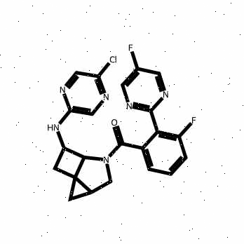 O=C(c1cccc(F)c1-c1ncc(F)cn1)N1CC2CC23CC(Nc2cnc(Cl)cn2)C13